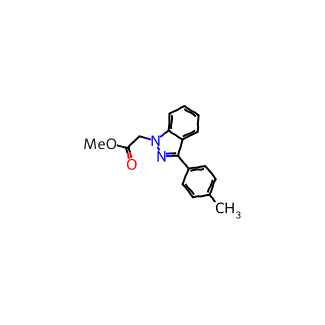 COC(=O)Cn1nc(-c2ccc(C)cc2)c2ccccc21